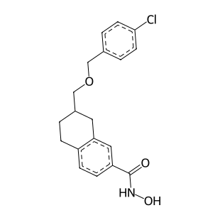 O=C(NO)c1ccc2c(c1)CC(COCc1ccc(Cl)cc1)CC2